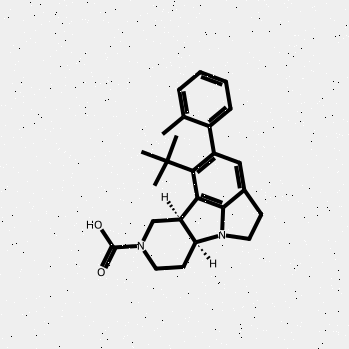 Cc1ccccc1-c1cc2c3c(c1C(C)(C)C)[C@@H]1CN(C(=O)O)CC[C@@H]1N3CC2